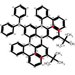 CC(C)(C)c1ccc2c(c1)B1c3cc(C(C)(C)C)ccc3N(c3ccccc3-c3ccccc3)c3cc(N(c4ccccc4)c4ccccc4)cc(c31)N2c1ccccc1-c1ccccc1